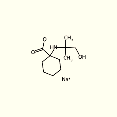 CC(C)(CO)NC1(C(=O)[O-])CCCCC1.[Na+]